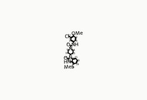 COc1ccc(NC(=O)N2CCC(n3c(=O)[nH]c4c(SC)cccc43)CC2)cc1Cl